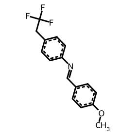 COc1ccc(C=Nc2ccc(CC(F)(F)F)cc2)cc1